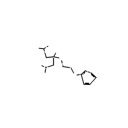 [CH2]C(CC(C)C)(CC(C)C)OCCOc1ccccc1